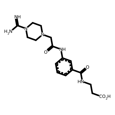 N=C(N)N1CCN(CC(=O)Nc2cccc(C(=O)NCCC(=O)O)c2)CC1